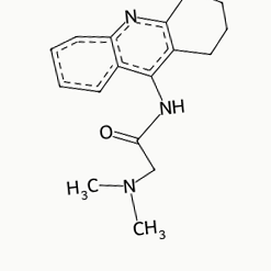 CN(C)CC(=O)Nc1c2c(nc3ccccc13)CCCC2